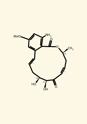 COc1cc(N)c2c(c1)/C=C/C[C@H](O)[C@H](O)C(=O)/C=C\C[C@H](C)OC2=O